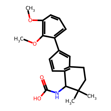 COc1cccc(-c2ccc3c(c2)CCC(C)(C)C3NC(=O)O)c1OC